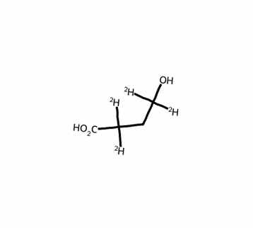 [2H]C([2H])(O)CC([2H])([2H])C(=O)O